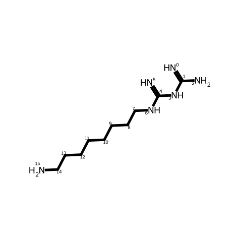 N=C(N)NC(=N)NCCCCCCCCN